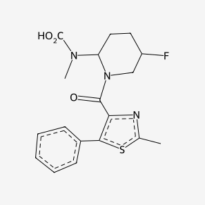 Cc1nc(C(=O)N2CC(F)CCC2N(C)C(=O)O)c(-c2ccccc2)s1